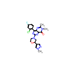 Cc1nc2c(-c3ccc(F)cc3Cl)nc(N3CCOC(c4cnn(C)c4)C3)nc2c(=O)n1C